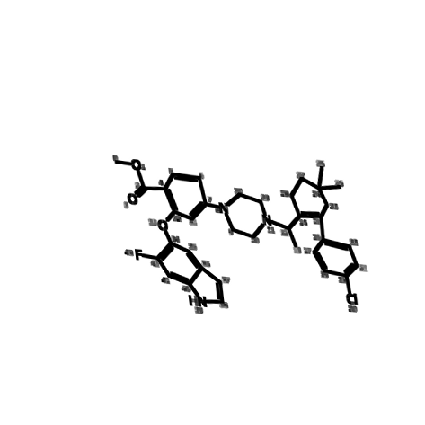 COC(=O)c1ccc(N2CCN(C(C)C3=C(c4ccc(Cl)cc4)CC(C)(C)CC3)CC2)cc1Oc1cc2cc[nH]c2cc1F